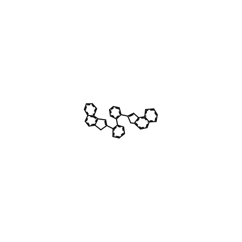 C1=C(c2ccccc2-c2ccccc2C2=Cc3c(ccc4ccccc34)C2)Cc2ccc3ccccc3c21